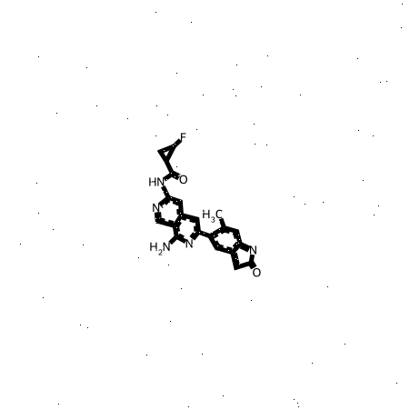 Cc1cc2c(cc1-c1cc3cc(NC(=O)C4CC4F)ncc3c(N)n1)=CC(=O)N=2